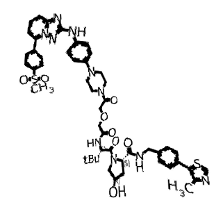 Cc1ncsc1-c1ccc(CNC(=O)[C@@H]2C[C@@H](O)CN2C(=O)[C@@H](NC(=O)COCC(=O)N2CCN(c3ccc(Nc4nc5cccc(-c6ccc(S(C)(=O)=O)cc6)n5n4)cc3)CC2)C(C)(C)C)cc1